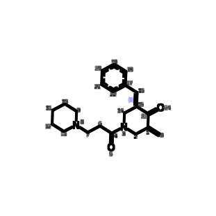 C=C1CN(C(=O)CCN2CCCCC2)C/C(=C\c2ccccc2)C1=O